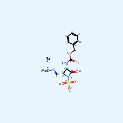 CON=C[C@@H]1[C@H](NC(=O)OCc2ccccc2)C(=O)N1S(=O)(=O)[O-].[Na+]